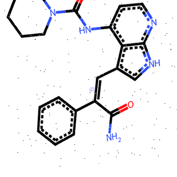 NC(=O)/C(=C\c1c[nH]c2nccc(NC(=O)N3CCCCC3)c12)c1ccccc1